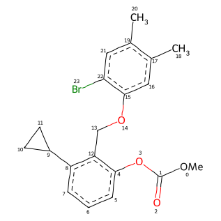 COC(=O)Oc1cccc(C2CC2)c1COc1cc(C)c(C)cc1Br